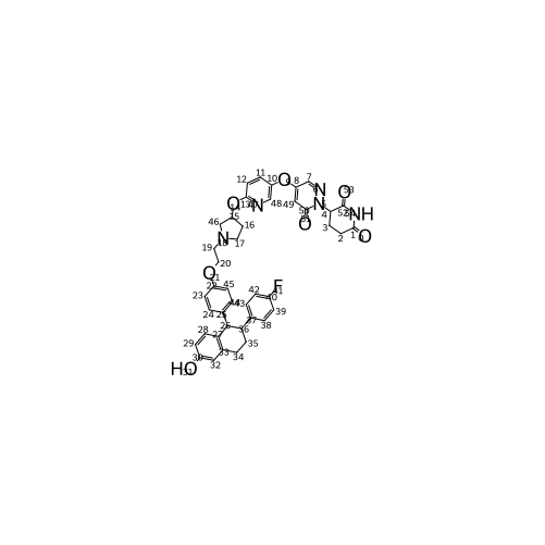 O=C1CCC(n2ncc(Oc3ccc(OC4CCN(CCOc5ccc([C@@H]6c7ccc(O)cc7CC[C@@H]6c6ccc(F)cc6)cc5)C4)nc3)cc2=O)C(=O)N1